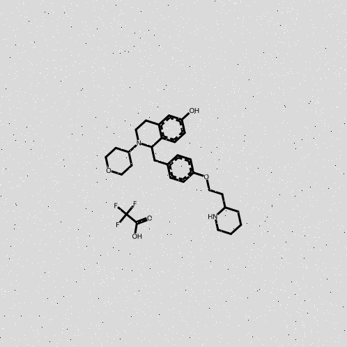 O=C(O)C(F)(F)F.Oc1ccc2c(c1)CCN(C1CCOCC1)C2Cc1ccc(OCCC2CCCCN2)cc1